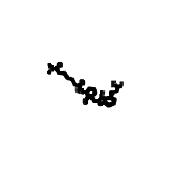 CN(C)C(=O)/C=C/CCCC(=O)Nc1cccn(Cc2cc3cccc(OCC(F)F)c3[nH]2)c1=O